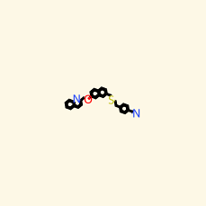 N#Cc1ccc(CCSCc2ccc3ccc(OCc4ccc5ccccc5n4)cc3c2)cc1